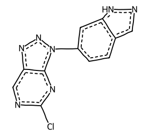 Clc1ncc2nnn(-c3ccc4cn[nH]c4c3)c2n1